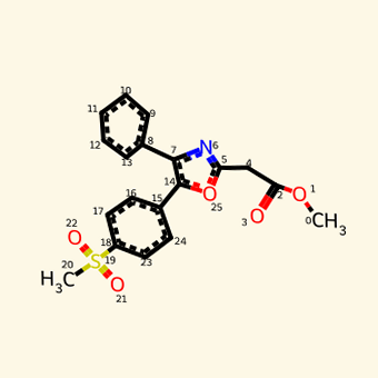 COC(=O)Cc1nc(-c2ccccc2)c(-c2ccc(S(C)(=O)=O)cc2)o1